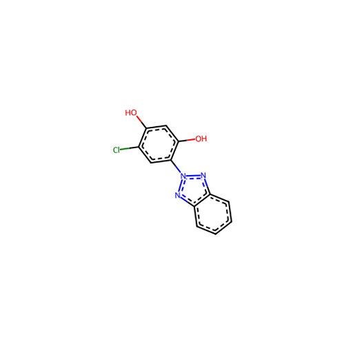 Oc1cc(O)c(-n2nc3ccccc3n2)cc1Cl